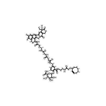 CC[C@@]1(O)C(=O)OCc2c1cc1n(c2=O)Cc2c-1nc1cc(F)c(C)c3c1c2[C@@H](NC(=O)COCNC(=O)CNC(=O)CNC(=O)OCc1ccc(O[C@@H]2O[C@H](C(=O)O)[C@@H](O)[C@H](O)[C@H]2O)c(C(=O)NCCNC(=O)COC2C#CCCCCC2)c1)CC3